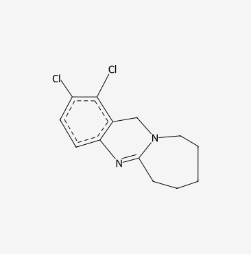 Clc1ccc2c(c1Cl)CN1CCCCCC1=N2